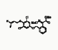 CO/N=C(/C(=O)OC)c1ccccc1COc1cc(Cl)c(OCC=C(F)F)c(Cl)c1